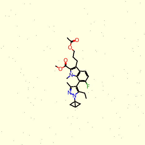 CCc1c(-c2c(F)ccc3c(CCCOC(C)=O)c(C(=O)OC)n(C)c23)c(C)nn1C12CC1C2